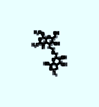 CCC1C(C(=O)O)OC(COCCC2C(O)C(CO)OC(COC)C2NC(C)=O)C(O)C1O